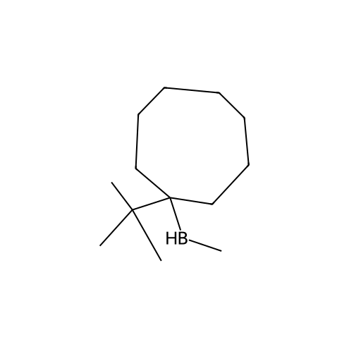 CBC1(C(C)(C)C)CCCCCCC1